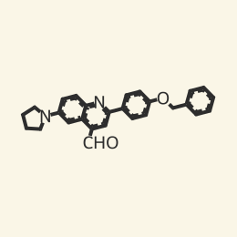 O=Cc1cc(-c2ccc(OCc3ccccc3)cc2)nc2ccc(N3CCCC3)cc12